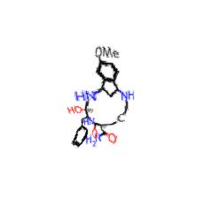 COc1ccc2c(c1)C1CC2NCCCC[C@@H](C(N)=O)C(=O)N[C@@H](Cc2ccccc2)[C@H](O)CN1